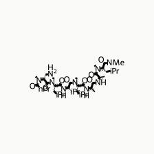 CCCC(=O)N(C)[C@H](CN)C(=O)N(C)[C@@H](CC(C)C)C(=O)N[C@H](C(=O)N(C)[C@@H](CC(C)C)C(=O)N[C@H](C)C(=O)N[C@H](C)C(=O)N(C)[C@@H](CC(C)C)C(=O)NC)C(C)C